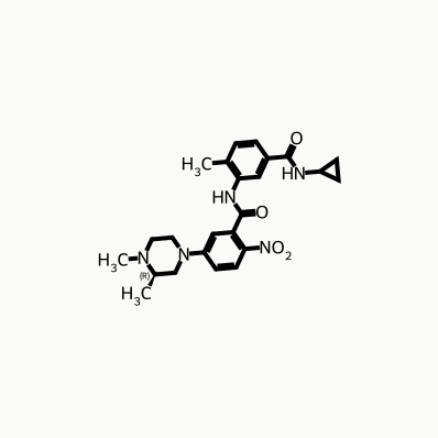 Cc1ccc(C(=O)NC2CC2)cc1NC(=O)c1cc(N2CCN(C)[C@H](C)C2)ccc1[N+](=O)[O-]